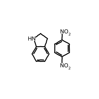 O=[N+]([O-])c1ccc([N+](=O)[O-])cc1.c1ccc2c(c1)CCN2